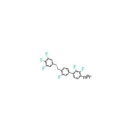 CCCc1ccc(-c2ccc(CCc3cc(F)c(F)c(F)c3)c(F)c2)c(F)c1F